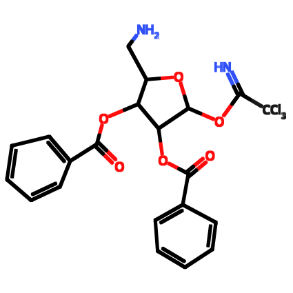 N=C(OC1OC(CN)C(OC(=O)c2ccccc2)C1OC(=O)c1ccccc1)C(Cl)(Cl)Cl